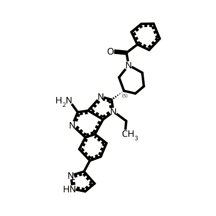 CCn1c([C@H]2CCCN(C(=O)c3ccccc3)C2)nc2c(N)nc3cc(-c4cc[nH]n4)ccc3c21